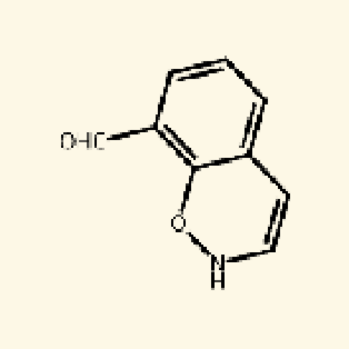 O=Cc1cccc2c1ONC=C2